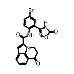 O=C1CCn2c(C(=O)Nc3ccc(Br)cc3-c3noc(=O)[nH]3)cc3cccc1c32